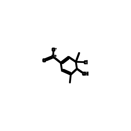 CC1=CC([N+](=O)[O-])=CC(C)(Cl)C1O